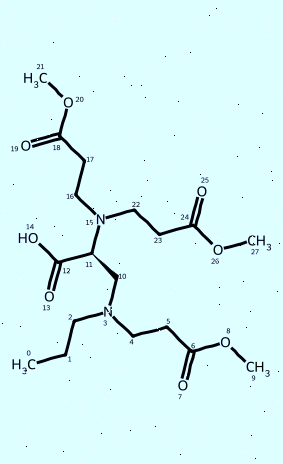 CCCN(CCC(=O)OC)C[C@@H](C(=O)O)N(CCC(=O)OC)CCC(=O)OC